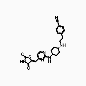 N#Cc1ccc(CCN[C@H]2CC[C@H](Nc3nccc(/C=C4\SC(=O)NC4=O)n3)CC2)cc1